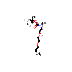 CCCOCCOCCN(C)C(=O)OC(C)(C)C